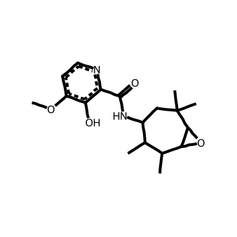 COc1ccnc(C(=O)NC2CC(C)(C)C3OC3C(C)C2C)c1O